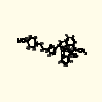 CN(c1cccc2cc(C3=NCC(CCN4CCC(O)CC4)S3)[nH]c12)S(=O)(=O)c1cccs1